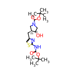 CC(C)(C)OC(=O)Nc1nc(C[C@H]2CN(C(=O)OC(C)(C)C)C[C@@H]2O)cs1